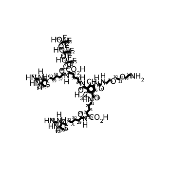 Cc1c(NC(=O)NCCOCCOCCN)cc(C(=O)NCCCC[C@H](NC(=O)CCCC[C@@H]2SC[C@@H]3NC(=N)N[C@@H]32)C(=O)O)c(C)c1C(=O)NCCCC[C@H](NC(=O)CCCC[C@@H]1SC[C@@H]2NC(=N)N[C@@H]21)C(=O)O.O=C(O)C(F)(F)F.O=C(O)C(F)(F)F.O=C(O)C(F)(F)F